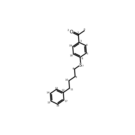 CC(=O)c1ccc(SCCCCc2ccccc2)cc1